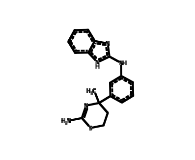 CC1(c2cccc(Nc3nc4ccccc4[nH]3)c2)CCSC(N)=N1